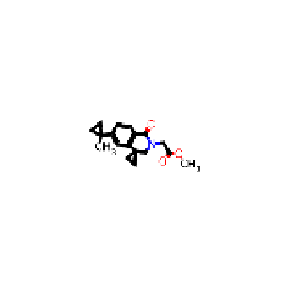 COC(=O)CN1CC2(CC2)c2cc(C3(C)CC3)ccc2C1=O